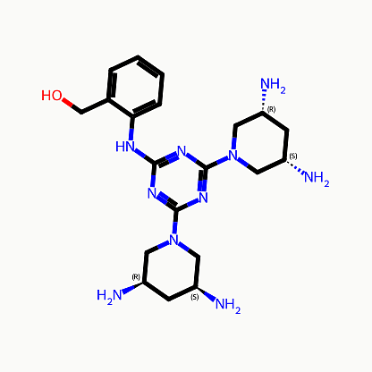 N[C@@H]1C[C@H](N)CN(c2nc(Nc3ccccc3CO)nc(N3C[C@H](N)C[C@H](N)C3)n2)C1